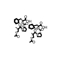 CC(=O)SC[C@@H](C)C(=O)N1CCC[C@H]1C(=O)N[C@@H](Cc1ccccc1)C(=O)O.CC(=O)SC[C@@H](C)C(=O)N1CCC[C@H]1C(=O)N[C@@H](Cc1ccccc1)C(=O)O